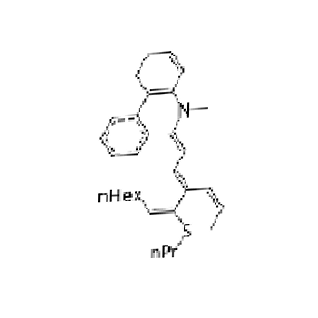 C\C=C/C(=C\C=C\N(C)C1=C(c2ccccc2)CCC=C1)C(=C\CCCCCC)/SCCC